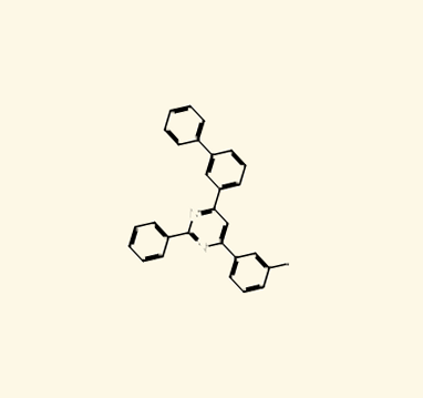 Ic1cccc(-c2cc(-c3cccc(-c4ccccc4)c3)nc(-c3ccccc3)n2)c1